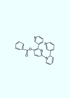 O=C(Oc1ccc(N2C=CC=CC2c2cccnc2)nc1-c1cccnc1)c1ccccc1